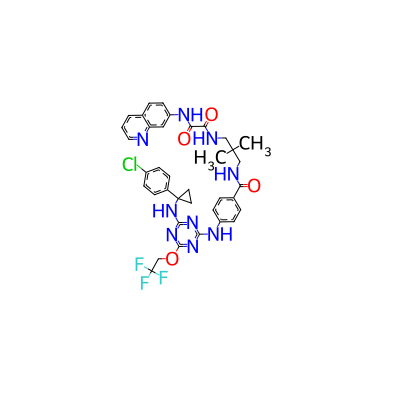 CC(C)(CNC(=O)C(=O)Nc1ccc2cccnc2c1)CNC(=O)c1ccc(Nc2nc(NC3(c4ccc(Cl)cc4)CC3)nc(OCC(F)(F)F)n2)cc1